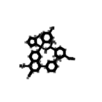 COc1ccc([C@H](C)N[C@](c2ccc(Cl)cc2)(c2ccc3c(c2)c(-c2cccc(C)c2)cc(=O)n3C)c2cncn2C)cc1